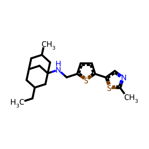 CCC1CC2CC(C)CC(NCc3ccc(-c4cnc(C)s4)s3)(C1)C2